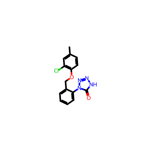 Cc1ccc(OCc2ccccc2-n2nn[nH]c2=O)c(Cl)c1